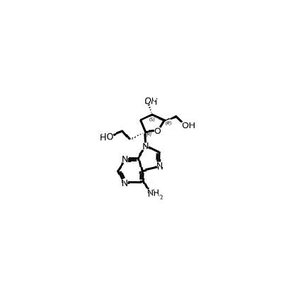 Nc1ncnc2c1ncn2[C@@]1(CCO)C[C@H](O)[C@@H](CO)O1